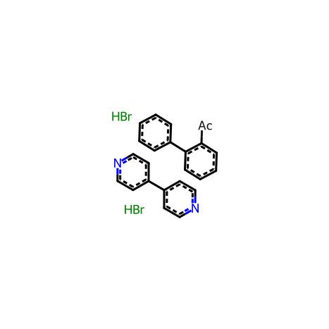 Br.Br.CC(=O)c1ccccc1-c1ccccc1.c1cc(-c2ccncc2)ccn1